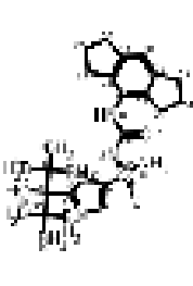 BC(B)(B)C(O)(c1ncc(S(N)(=O)=NC(=O)Nc2c3c(cc4c2CCC4)CCC3)s1)C(B)(B)B